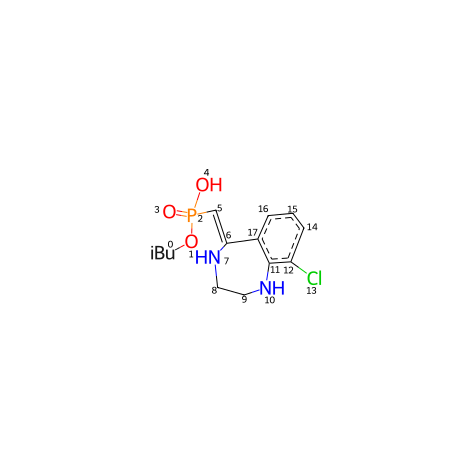 CCC(C)OP(=O)(O)C=C1NCCNc2c(Cl)cccc21